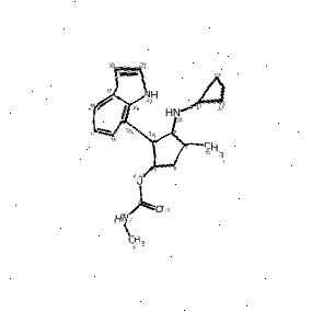 CNC(=O)OC1CC(C)C(NC2CC2)C1c1cccc2cc[nH]c12